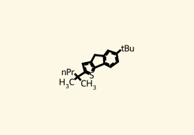 CCCC(C)(C)c1cc2c(s1)-c1ccc(C(C)(C)C)cc1C2